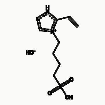 C=Cc1[nH]cc[n+]1CCCCS(=O)(=O)O.[OH-]